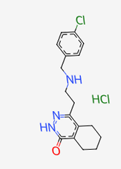 Cl.O=c1[nH]nc(CCNCc2ccc(Cl)cc2)c2c1CCCC2